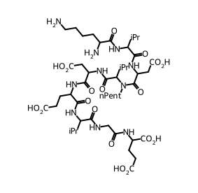 CCCCCN(C(=O)C(CC(=O)O)NC(=O)C(NC(=O)C(N)CCCCN)C(C)C)C(C(=O)NC(CC(=O)O)C(=O)NC(CCC(=O)O)C(=O)NC(C(=O)NCC(=O)NC(CCC(=O)O)C(=O)O)C(C)C)C(C)C